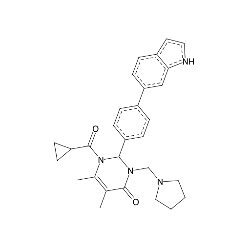 CC1=C(C)N(C(=O)C2CC2)C(c2ccc(-c3ccc4cc[nH]c4c3)cc2)N(CN2CCCC2)C1=O